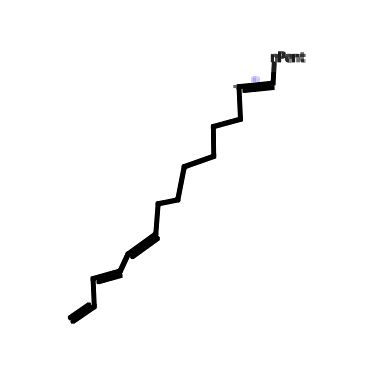 C=CC=CC=CCCCCCC/[C]=C/CCCCC